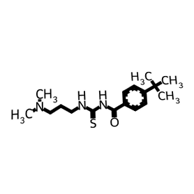 CN(C)CCCNC(=S)NC(=O)c1ccc(C(C)(C)C)cc1